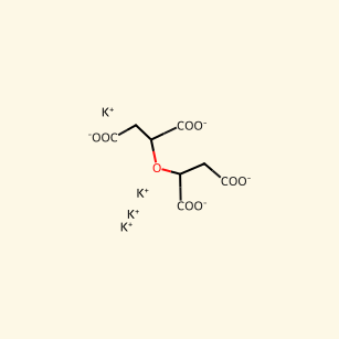 O=C([O-])CC(OC(CC(=O)[O-])C(=O)[O-])C(=O)[O-].[K+].[K+].[K+].[K+]